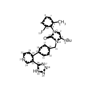 CCCCc1cn(-c2c(C)cccc2F)c(=O)n1Cc1ccc(-c2ccncc2-c2nnn[nH]2)cc1